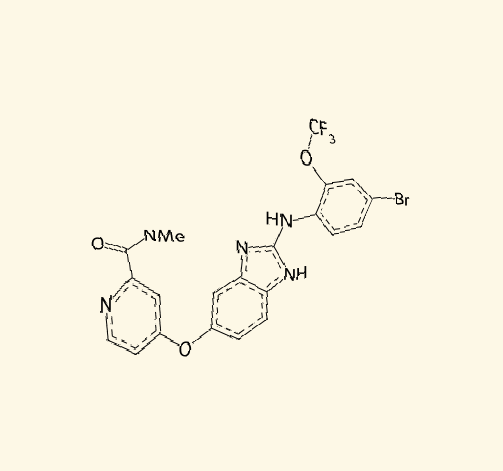 CNC(=O)c1cc(Oc2ccc3[nH]c(Nc4ccc(Br)cc4OC(F)(F)F)nc3c2)ccn1